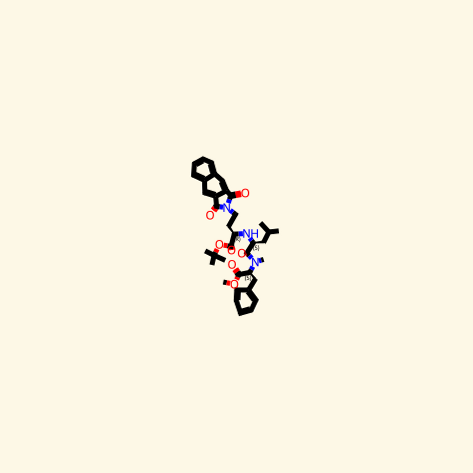 COC(=O)[C@H](Cc1ccccc1)N(C)C(=O)[C@H](CC(C)C)N[C@H](CCN1C(=O)c2cc3ccccc3cc2C1=O)C(=O)OC(C)(C)C